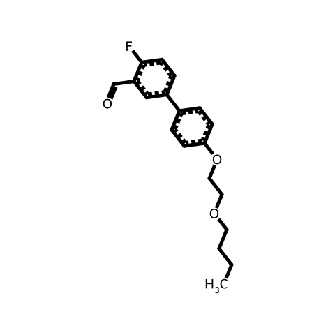 CCCCOCCOc1ccc(-c2ccc(F)c(C=O)c2)cc1